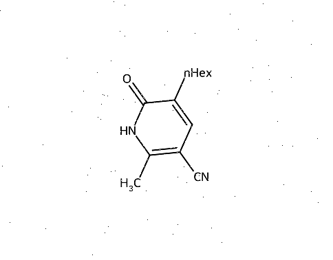 CCCCCCc1cc(C#N)c(C)[nH]c1=O